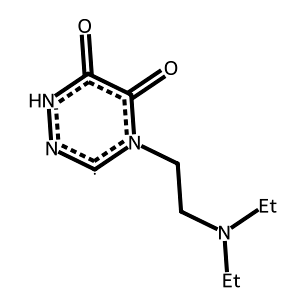 CCN(CC)CCn1[c]n[nH]c(=O)c1=O